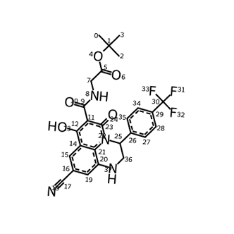 CC(C)(C)OC(=O)CNC(=O)c1c(O)c2cc(C#N)cc3c2n(c1=O)C(c1ccc(C(F)(F)F)cc1)CN3